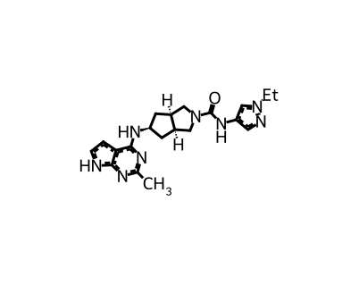 CCn1cc(NC(=O)N2C[C@H]3C[C@@H](Nc4nc(C)nc5[nH]ccc45)C[C@H]3C2)cn1